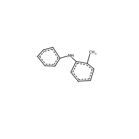 Cc1ccccc1Nc1cc[c]cc1